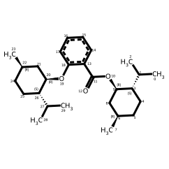 CC(C)[C@@H]1CC[C@@H](C)C[C@H]1OC(=O)c1ccccc1O[C@@H]1C[C@H](C)CC[C@H]1C(C)C